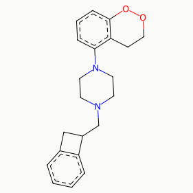 c1ccc2c(c1)CC2CN1CCN(c2cccc3c2CCOO3)CC1